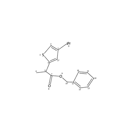 CC(C)c1csc(C(C)C(=O)OCc2ccccc2)c1